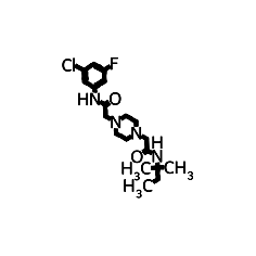 CCC(C)(C)NC(=O)CN1CCN(CC(=O)Nc2cc(F)cc(Cl)c2)CC1